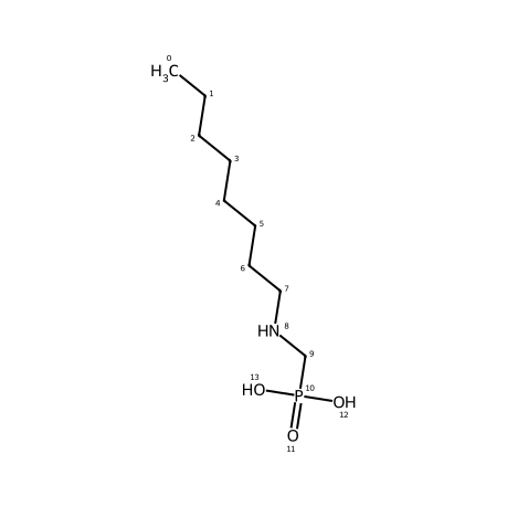 CCCCCCCCNCP(=O)(O)O